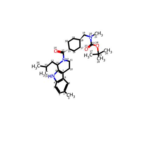 Cc1ccc2[nH]c3c(c2c1)CCN(C(=O)[C@H]1CC[C@H](CN(C)C(=O)OC(C)(C)C)CC1)C3CC(C)C